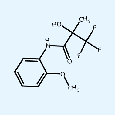 COc1ccccc1NC(=O)C(C)(O)C(F)(F)F